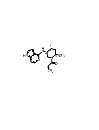 C=CC(=O)N1C[C@@H](Nc2ncnc3[nH]ccc23)[C@H](F)C[C@H]1C